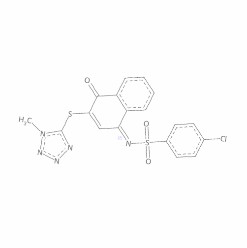 Cn1nnnc1SC1=C/C(=N/S(=O)(=O)c2ccc(Cl)cc2)c2ccccc2C1=O